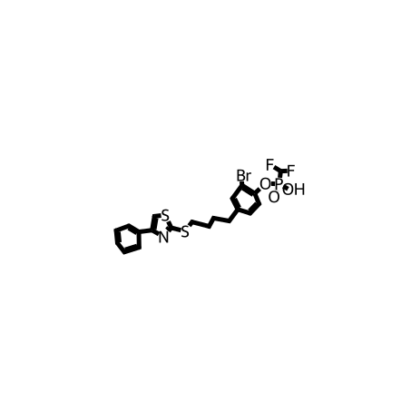 O=P(O)(Oc1ccc(CCCCSc2nc(-c3ccccc3)cs2)cc1Br)C(F)F